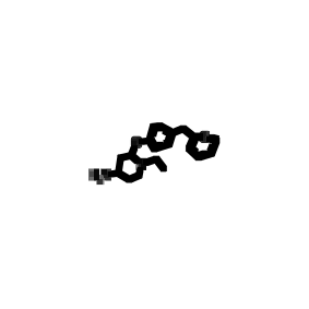 CCN1CCC(N)CC1Oc1ccc(Cc2ccccc2)cc1